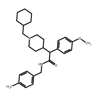 COc1ccc(C(C(=O)NCc2ccc(C)cc2)C2CCN(CC3CCCCC3)CC2)cc1